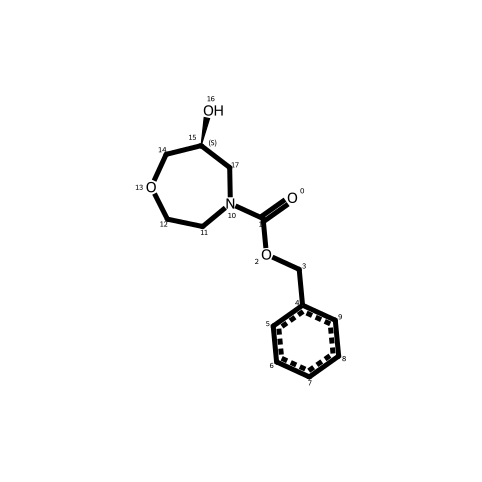 O=C(OCc1ccccc1)N1CCOC[C@@H](O)C1